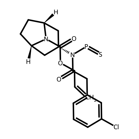 C=CCOC(=O)N1[C@@H]2CC[C@H]1C[C@@H](N(P=S)C(=O)Cc1cccc(Cl)c1)C2